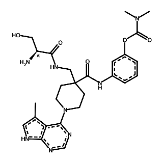 Cc1c[nH]c2ncnc(N3CCC(CNC(=O)[C@@H](N)CO)(C(=O)Nc4cccc(OC(=O)N(C)C)c4)CC3)c12